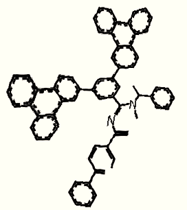 C=C(/N=C(/c1cc(-c2ccc3c4ccccc4c4ccccc4c3c2)cc(-c2ccc3c4ccccc4c4ccccc4c3c2)c1)N(C)C(C)c1ccccc1)C(/C=C\C(=C)c1ccccc1)=C/C